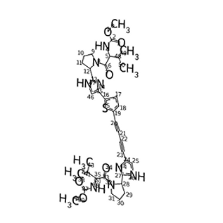 COC(=O)NC(C(=O)N1CCCC1c1nc(-c2ccc(C#CC#Cc3c[nH]c(C4CCCN4C(=O)[C@@H](NC(=O)OC)C(C)C)n3)s2)c[nH]1)C(C)C